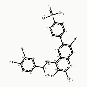 Cc1nc2cc(F)c(-c3ccc(P(C)(C)=O)nc3)nc2c(NC(C)c2ccc(F)c(F)c2)c1Cl